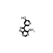 Nc1ncnc2c1C(c1cncc(O)c1)=N[N]2